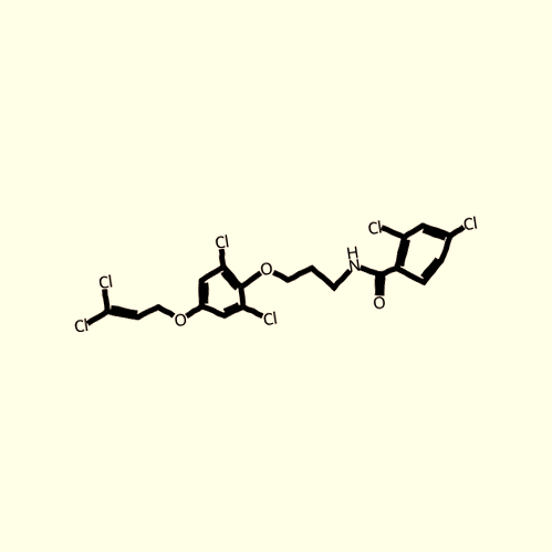 O=C(NCCCOc1c(Cl)cc(OCC=C(Cl)Cl)cc1Cl)c1ccc(Cl)cc1Cl